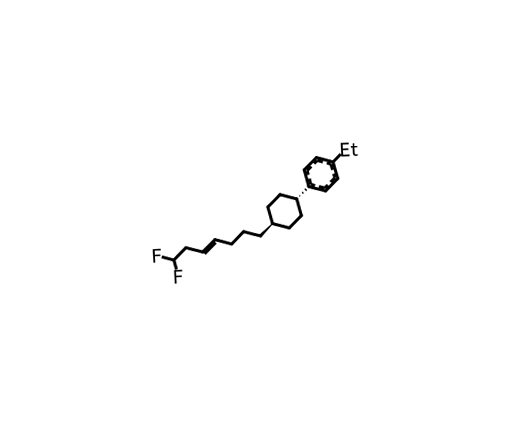 CCc1ccc([C@H]2CC[C@H](CCCC=CCC(F)F)CC2)cc1